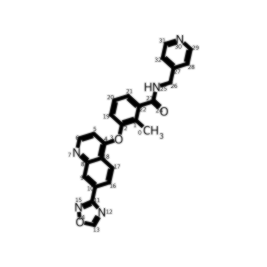 Cc1c(Oc2ccnc3cc(-c4ncon4)ccc23)cccc1C(=O)NCc1ccncc1